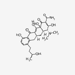 CC(O)CCc1ccc(O)c2c1C[C@@H]1C[C@@H]3[C@@H](N(C)C)C(O)=C(C(N)=O)C(=O)[C@@]3(O)C(O)=C1C2=O